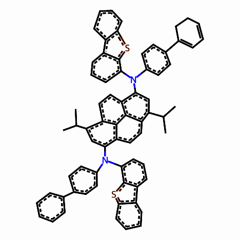 CC(C)c1cc(N(c2ccc(C3=CC=CCC3)cc2)c2cccc3c2sc2ccccc23)c2ccc3c(C(C)C)cc(N(c4ccc(-c5ccccc5)cc4)c4cccc5c4sc4ccccc45)c4ccc1c2c34